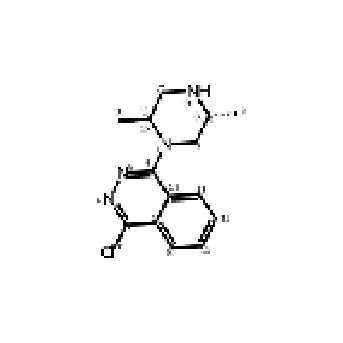 C[C@@H]1CN(c2nnc(Cl)c3ccccc23)[C@@H](C)CN1